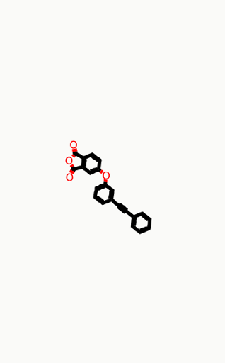 O=C1OC(=O)c2cc(Oc3cccc(C#Cc4ccccc4)c3)ccc21